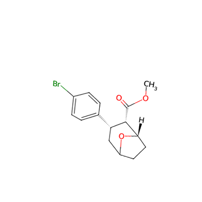 COC(=O)[C@@H]1[C@@H]2CCC(C[C@@H]1c1ccc(Br)cc1)O2